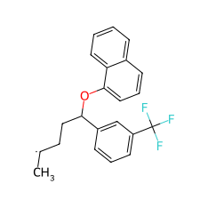 C[CH]CCC(Oc1cccc2ccccc12)c1cccc(C(F)(F)F)c1